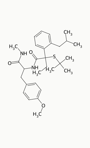 CCC(SC(C)(C)C)(C(=O)NC(Cc1ccc(OC)cc1)C(=O)NC)c1ccccc1CC(C)C